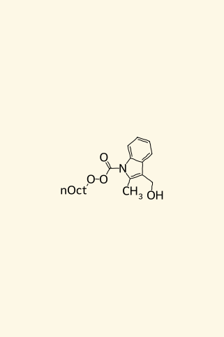 CCCCCCCCOOC(=O)n1c(C)c(CO)c2ccccc21